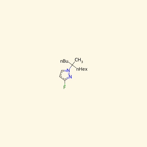 CCCCCCC(C)(CCCC)n1ccc(F)n1